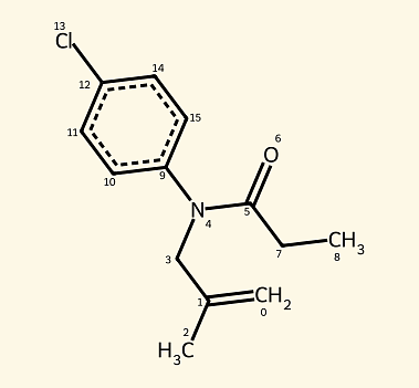 C=C(C)CN(C(=O)CC)c1ccc(Cl)cc1